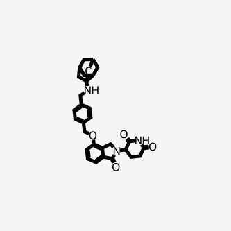 O=C1CCC(N2Cc3c(OCc4ccc(CNC56CC7CC(CC5C7)C6)cc4)cccc3C2=O)C(=O)N1